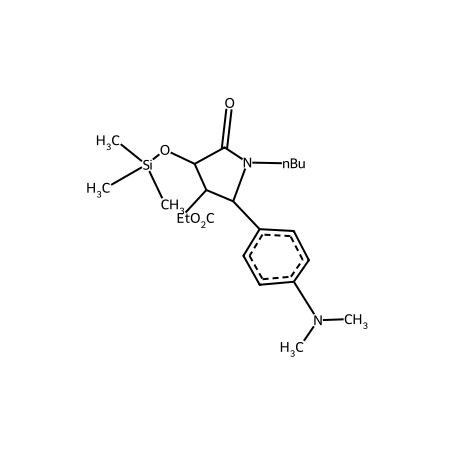 CCCCN1C(=O)C(O[Si](C)(C)C)C(C(=O)OCC)C1c1ccc(N(C)C)cc1